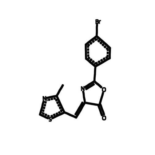 Cc1ncsc1C=C1N=C(c2ccc(Br)cc2)OC1=O